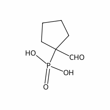 O=CC1(P(=O)(O)O)CCCC1